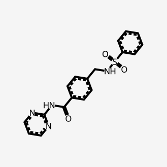 O=C(Nc1ncccn1)c1ccc(CNS(=O)(=O)c2ccccc2)cc1